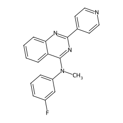 CN(c1cccc(F)c1)c1nc(-c2ccncc2)nc2ccccc12